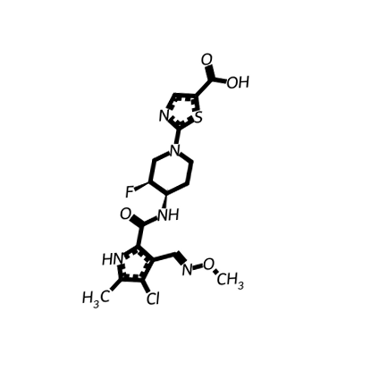 CO/N=C/c1c(C(=O)N[C@@H]2CCN(c3ncc(C(=O)O)s3)C[C@@H]2F)[nH]c(C)c1Cl